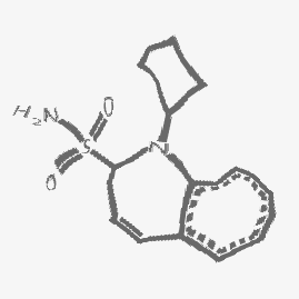 NS(=O)(=O)C1C=Cc2ccccc2N1C1CCC1